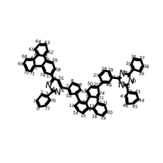 c1ccc(-c2nc(-c3cccc(-c4cccc5c6ccccc6c6cc(-c7cccc(-c8nc(-c9ccccc9)nc(-c9ccccc9)n8)c7)ccc6c45)c3)cc(-c3ccc4c5ccccc5c5ccccc5c4c3)n2)cc1